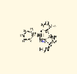 Cc1occc1C1=NN=C(N)/C1=N/Nc1ccccc1